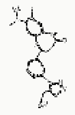 CCN(C)c1cc2c(cc1C)NC(=O)CC(c1cccc(-n3nncc3CO)c1)=N2